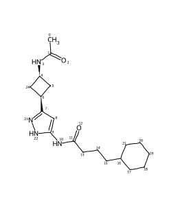 CC(=O)N[C@H]1C[C@@H](c2cc(NC(=O)CCCC3CCCCC3)[nH]n2)C1